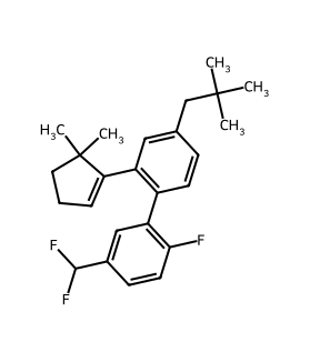 CC(C)(C)Cc1ccc(-c2cc(C(F)F)ccc2F)c(C2=CCCC2(C)C)c1